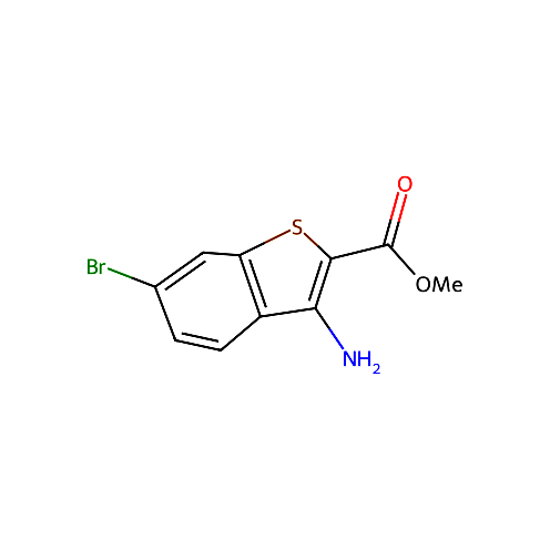 COC(=O)c1sc2cc(Br)ccc2c1N